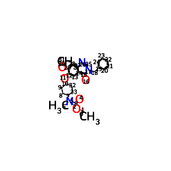 CCOC(=O)N(C)C1CCC(Oc2cc3c(=O)n(Cc4ccccc4)cnc3cc2OC)CC1